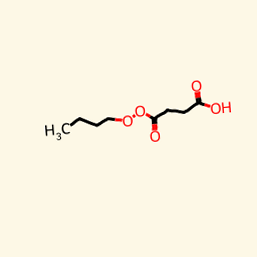 CCCCOOC(=O)CCC(=O)O